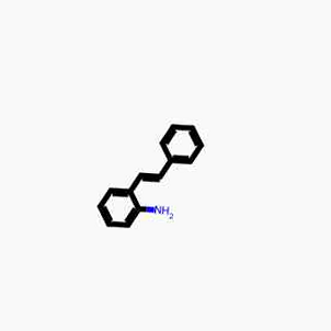 Nc1ccccc1C=Cc1ccccc1